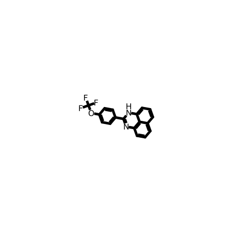 FC(F)(F)Oc1ccc(C2=Nc3cccc4cccc(c34)N2)cc1